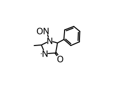 CC1[N]C(=O)C(c2ccccc2)N1N=O